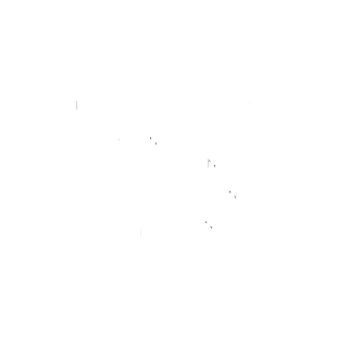 COn1cc(O)n2nnc(Cl)c12